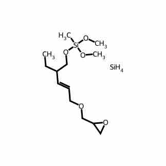 CCC(C=CCOCC1CO1)CO[Si](C)(OC)OC.[SiH4]